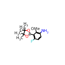 COc1c(N)ccc(F)c1B1OC(C)(C)C(C)(C)O1